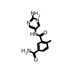 Cc1ccc(C(N)=O)cc1C(=O)Nc1cnc(N)nc1